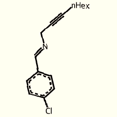 CCCCCCC#CCN=Cc1ccc(Cl)cc1